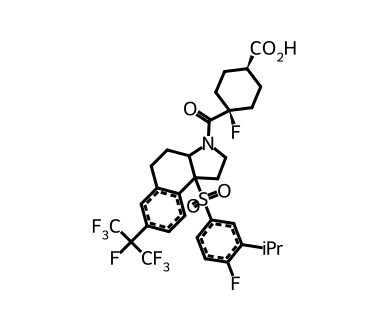 CC(C)c1cc(S(=O)(=O)C23CCN(C(=O)[C@]4(F)CC[C@@H](C(=O)O)CC4)C2CCc2cc(C(F)(C(F)(F)F)C(F)(F)F)ccc23)ccc1F